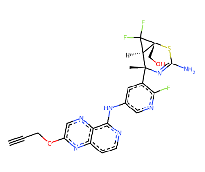 C#CCOc1cnc2c(Nc3cnc(F)c([C@@]4(C)N=C(N)S[C@]5(CO)[C@@H]4C5(F)F)c3)nccc2n1